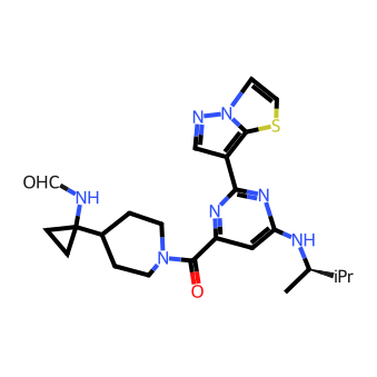 CC(C)[C@@H](C)Nc1cc(C(=O)N2CCC(C3(NC=O)CC3)CC2)nc(-c2cnn3ccsc23)n1